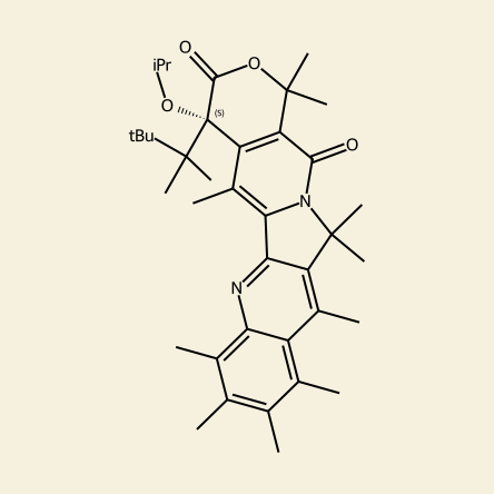 Cc1c(C)c(C)c2c(C)c3c(nc2c1C)-c1c(C)c2c(c(=O)n1C3(C)C)C(C)(C)OC(=O)[C@]2(OC(C)C)C(C)(C)C(C)(C)C